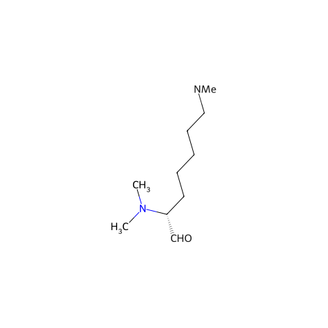 CNCCCCC[C@H](C=O)N(C)C